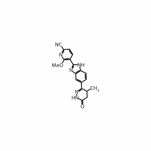 COc1nc(C#N)ccc1-c1nc2cc(C3=NNC(=O)CC3C)ccc2[nH]1